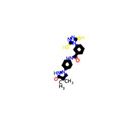 CC1(C)CN(c2ccc(NC(=O)c3cccc(-n4c(S)nnc4S)c3)cc2)NC1=O